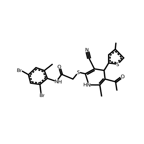 CC(=O)C1=C(C)NC(SCC(=O)Nc2c(C)cc(Br)cc2Br)=C(C#N)C1c1cc(C)cs1